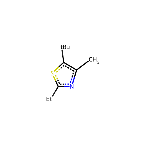 CCc1nc(C)c(C(C)(C)C)s1